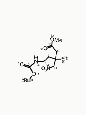 CCC(CCNC(=O)OC(C)(C)C)(CC(=O)OC)C[N+](=O)[O-]